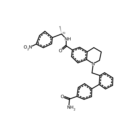 C[C@H](NC(=O)c1ccc2c(c1)CCCN2Cc1ccccc1-c1ccc(C(N)=O)cc1)c1ccc([N+](=O)[O-])cc1